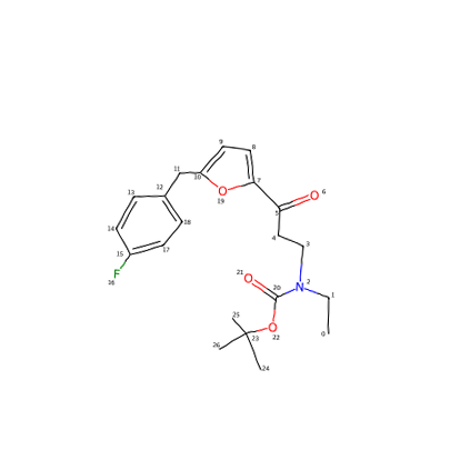 CCN(CCC(=O)c1ccc(Cc2ccc(F)cc2)o1)C(=O)OC(C)(C)C